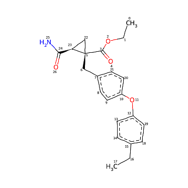 CCOC(=O)[C@@]1(Cc2ccc(Oc3ccc(CC)cc3)cc2)C[C@@H]1C(N)=O